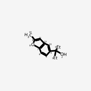 CCC(O)(CC)c1ccc2oc(C)cc2c1